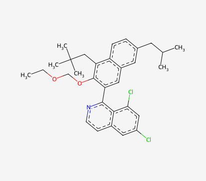 CCOCOc1c(-c2nccc3cc(Cl)cc(Cl)c23)cc2cc(CC(C)C)ccc2c1CC(C)(C)C